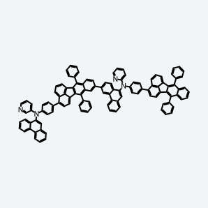 c1ccc(-c2c3c(c(-c4ccccc4)c4ccccc24)-c2ccc(-c4ccc(N(c5ccccn5)c5cc6ccccc6c6cc(-c7ccc8c(-c9ccccc9)c9c(c(-c%10ccccc%10)c8c7)-c7ccc(-c8ccc(N(c%10cccnc%10)c%10cc%11ccccc%11c%11ccccc%10%11)cc8)c8cccc-9c78)ccc56)cc4)c4cccc-3c24)cc1